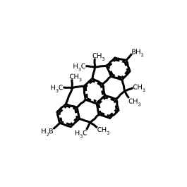 Bc1cc2c3c(c1)C(C)(C)c1ccc4c5c6c(c(c-3c15)C2(C)C)C(C)(C)c1cc(B)cc(c1-6)C4(C)C